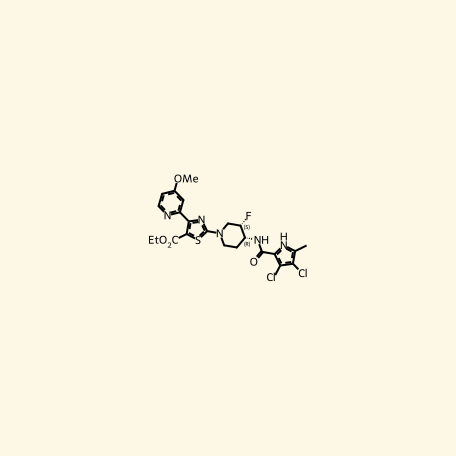 CCOC(=O)c1sc(N2CC[C@@H](NC(=O)c3[nH]c(C)c(Cl)c3Cl)[C@@H](F)C2)nc1-c1cc(OC)ccn1